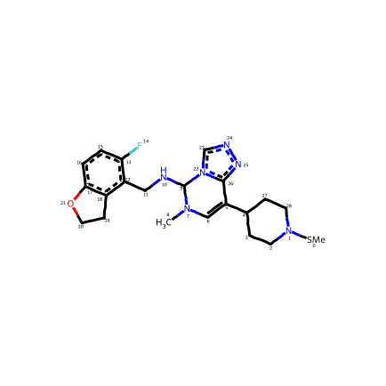 CSN1CCC(C2=CN(C)C(NCc3c(F)ccc4c3CCO4)n3cnnc32)CC1